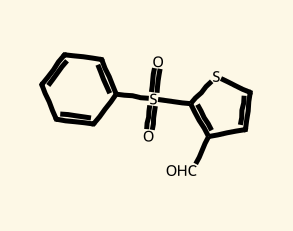 O=Cc1ccsc1S(=O)(=O)c1ccccc1